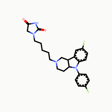 O=C1CN(CCCCCN2CCC3C(C2)c2cc(F)ccc2N3c2ccc(F)cc2)C(=O)N1